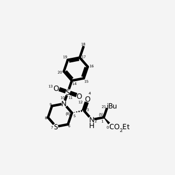 CCOC(=O)[C@@H](NC(=O)[C@@H]1CSCCN1S(=O)(=O)c1ccc(C)cc1)C(C)CC